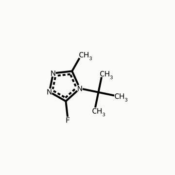 Cc1nnc(F)n1C(C)(C)C